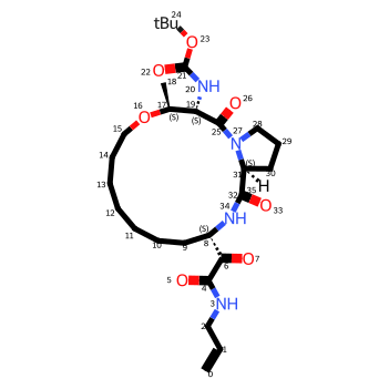 C=CCNC(=O)C(=O)[C@@H]1CCCCCCCO[C@@H](C)[C@H](NC(=O)OC(C)(C)C)C(=O)N2CCC[C@H]2C(=O)N1